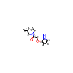 C=CCN(CC(F)(F)F)C(=O)COc1ccc[nH]1